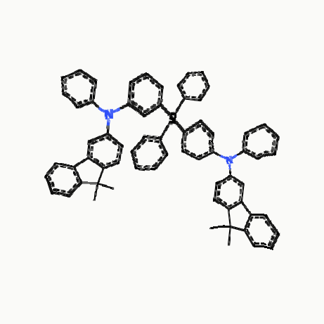 CC1(C)c2ccccc2-c2cc(N(c3ccccc3)c3ccc([Si](c4ccccc4)(c4ccccc4)c4cccc(N(c5ccccc5)c5ccc6c(c5)-c5ccccc5C6(C)C)c4)cc3)ccc21